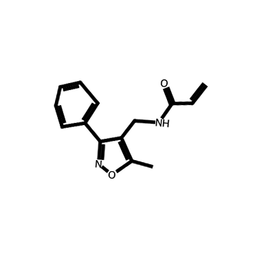 C=CC(=O)NCc1c(-c2ccccc2)noc1C